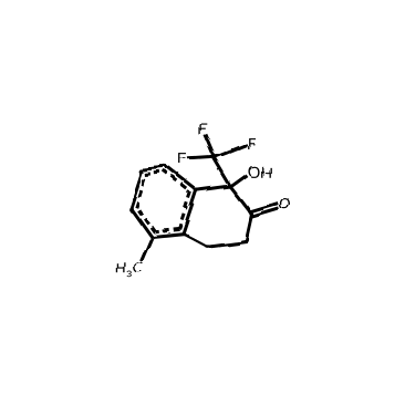 Cc1cccc2c1CCC(=O)C2(O)C(F)(F)F